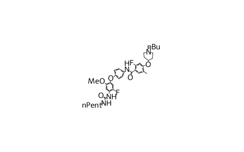 CCCCCNC(=O)Nc1cc(OC)c(Oc2ccc(NC(=O)c3cc(C)c(OC4CCN(CCCC)CC4)cc3F)cc2)cc1F